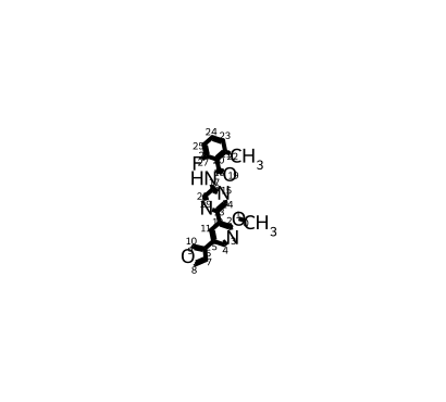 COc1ncc(-c2ccoc2)cc1-c1cnc(NC(=O)c2c(C)cccc2F)cn1